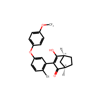 CCc1ccc(Oc2ccc(OC(F)(F)F)cc2)cc1C1=C(O)[C@H]2CC[C@H](C2)C1=O